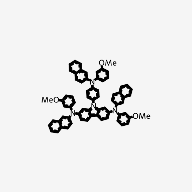 COc1cccc(N(c2ccc(-n3c4cc(N(c5cccc(OC)c5)c5ccc6ccccc6c5)ccc4c4ccc(N(c5cccc(OC)c5)c5ccc6ccccc6c5)cc43)cc2)c2ccc3ccccc3c2)c1